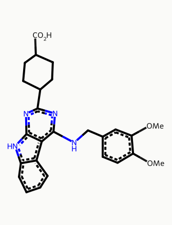 COc1ccc(CNc2nc(C3CCC(C(=O)O)CC3)nc3[nH]c4ccccc4c23)cc1OC